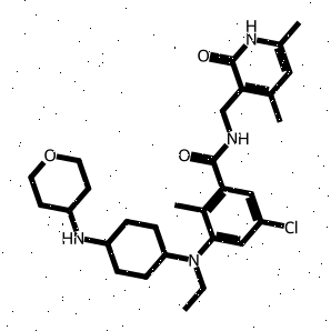 CCN(c1cc(Cl)cc(C(=O)NCc2c(C)cc(C)[nH]c2=O)c1C)C1CCC(NC2CCOCC2)CC1